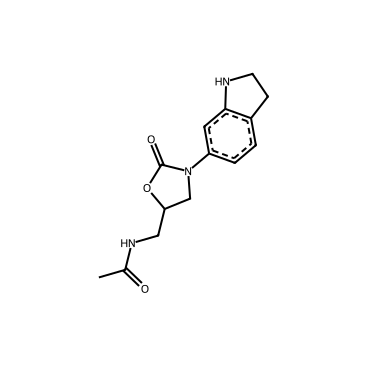 CC(=O)NCC1CN(c2ccc3c(c2)NCC3)C(=O)O1